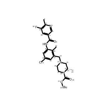 Cc1ncc(C(=O)Nc2cc(Cl)cc(CN3CCN(C(=O)OC(C)(C)C)[C@@H](C)C3)c2C)cc1F